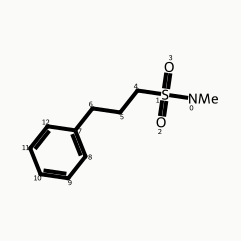 CNS(=O)(=O)CCCc1ccccc1